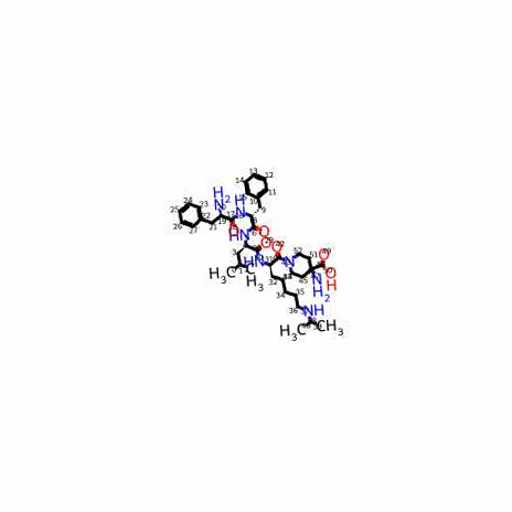 CC(C)C[C@@H](NC(=O)[C@@H](Cc1ccccc1)NC(=O)[C@H](N)Cc1ccccc1)C(=O)N[C@H](CCCCCNC(C)C)C(=O)N1CCC(N)(C(=O)O)CC1